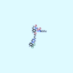 CNNC(=O)OCN1C(=O)CCc2ccc(OCCCCN3CCN(c4cccc(Cl)c4Cl)CC3)cc21